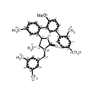 COc1ccc(-c2ccc(C(=O)O)cc2C)cc1-c1ccc(C)cc1C1OC(=O)N(Cc2cc(C)cc(C(F)(F)F)c2)[C@@H]1C